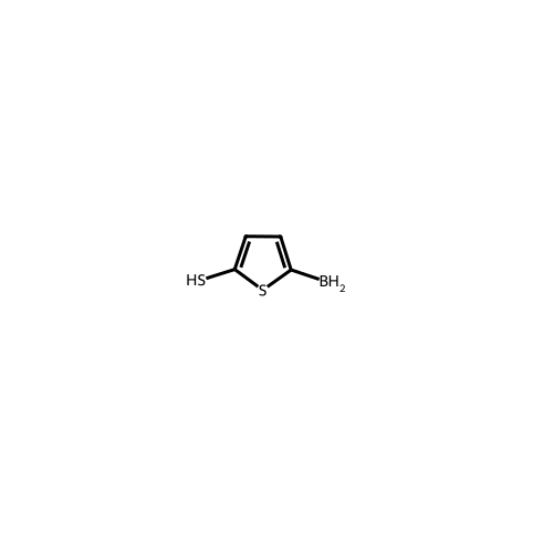 Bc1ccc(S)s1